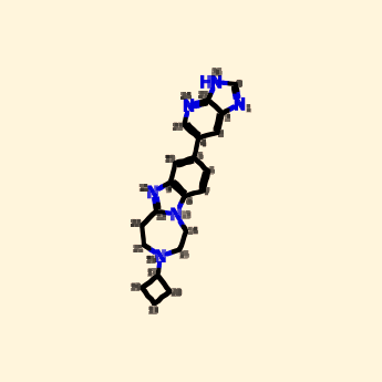 c1nc2cc(-c3ccc4c(c3)nc3n4CCN(C4CCC4)CC3)cnc2[nH]1